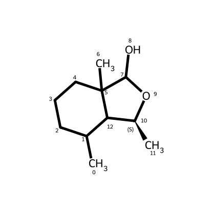 CC1CCCC2(C)C(O)O[C@@H](C)C12